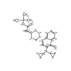 CC(C)(C)OC(=O)N[C@H]1CC[C@H](c2nn(C(C3CC3)C3CC3)c(=O)c3ccccc32)CC1